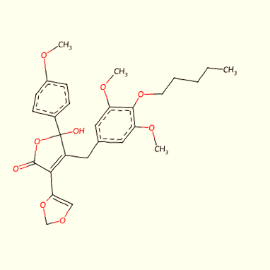 CCCCCOc1c(OC)cc(CC2=C(C3=COCO3)C(=O)OC2(O)c2ccc(OC)cc2)cc1OC